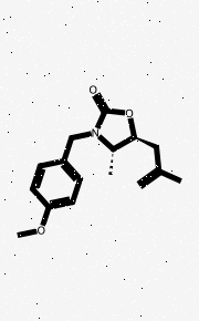 C=C(C)C[C@@H]1OC(=O)N(Cc2ccc(OC)cc2)[C@H]1C